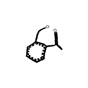 CC(=O)c1ccccc1C[O]